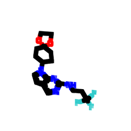 FC(F)(F)CCNc1ncc2ccn(C3CCC4(CC3)OCCO4)c2n1